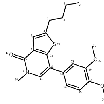 CCCCc1cc2c(=O)n(C)cc(-c3ccc(OC)c(OC)c3)c2s1